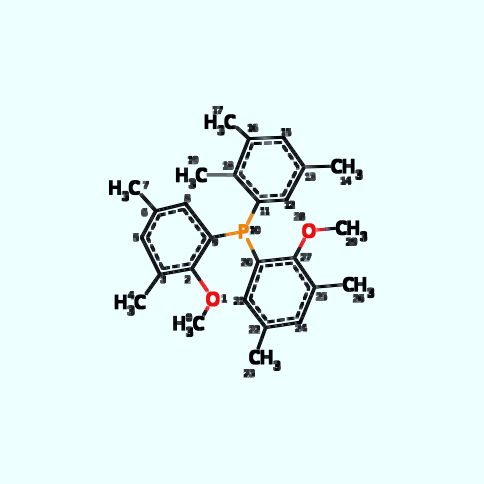 COc1c(C)cc(C)cc1P(c1cc(C)cc(C)c1C)c1cc(C)cc(C)c1OC